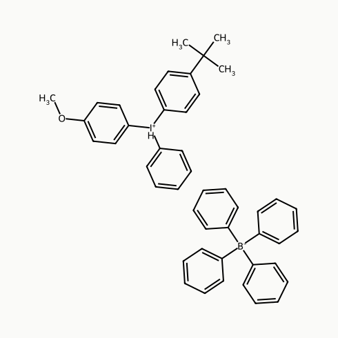 COc1ccc([IH+](c2ccccc2)c2ccc(C(C)(C)C)cc2)cc1.c1ccc([B-](c2ccccc2)(c2ccccc2)c2ccccc2)cc1